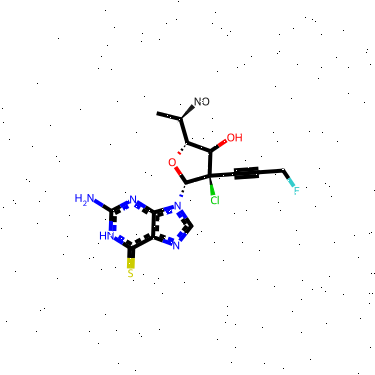 C[C@@H](N=O)[C@H]1O[C@@H](n2cnc3c(=S)[nH]c(N)nc32)[C@@](Cl)(C#CCF)C1O